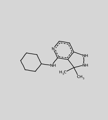 CC1(C)NNc2ccnc(NC3CCCCC3)c21